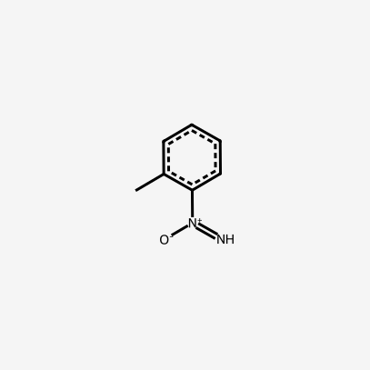 Cc1ccccc1[N+](=N)[O-]